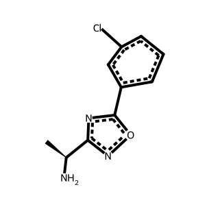 C[C@H](N)c1noc(-c2cccc(Cl)c2)n1